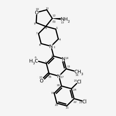 Cc1c(N2CCC3(CC2)COC[C@H]3N)nc(C)n(-c2cccc(Cl)c2Cl)c1=O